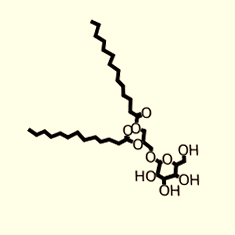 CCCCCCCCCCCCCC(=O)OCC(COC1OC(CO)C(O)C(O)C1O)OC(=O)CCCCCCCCCCCC